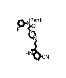 CCCC(C)N(C(=O)CN1CCN(CCCc2c[nH]c3ccc(C#N)cc23)CC1)c1cccc(F)c1